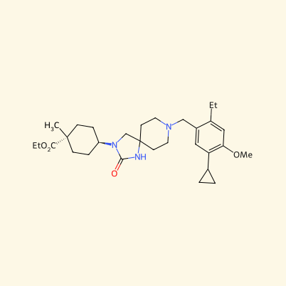 CCOC(=O)[C@]1(C)CC[C@@H](N2CC3(CCN(Cc4cc(C5CC5)c(OC)cc4CC)CC3)NC2=O)CC1